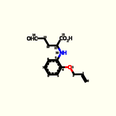 C=CCOc1ccccc1NC(CCC=O)C(=O)O